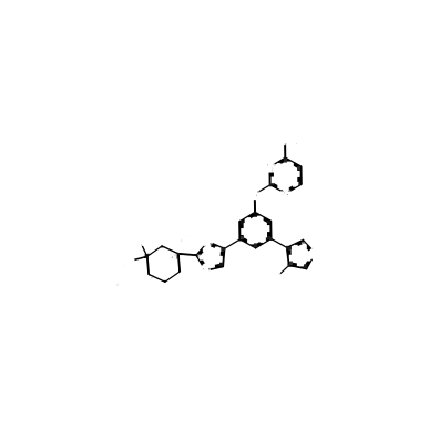 Cc1cscc1-c1cc(Nc2nccc(C(F)(F)F)n2)cc(-c2cnc([C@@]3(O)CC[C@H](C(=O)O)C(C)(C)C3)s2)c1